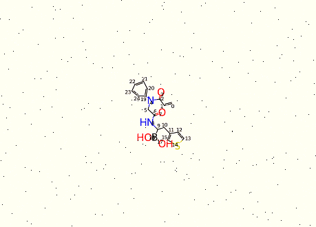 C=CC(=O)N(CC(=O)NC(Cc1ccsc1)B(O)O)c1ccccc1